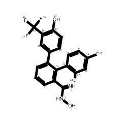 N=C(NO)c1cccc(-c2ccc(O)c(C(F)(F)F)c2)c1-c1ccc(F)cc1Cl